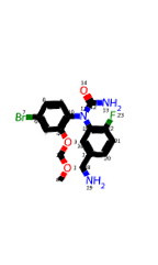 COCOc1cc(Br)ccc1N(C(N)=O)c1cc(CN)ccc1F